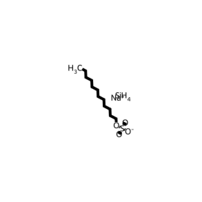 CCCCCCCCCCCCOS(=O)(=O)[O-].[Na+].[SiH4]